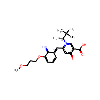 COCCCOC1=CC=C/C(=C\c2cc(=O)c(C(=O)O)cn2[C@@H](C)C(C)(C)C)C1=N